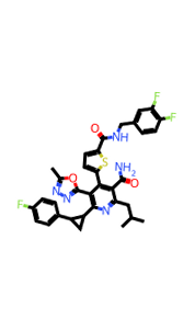 Cc1nnc(-c2c(C3CC3c3ccc(F)cc3)nc(CC(C)C)c(C(N)=O)c2-c2ccc(C(=O)NCc3ccc(F)c(F)c3)s2)o1